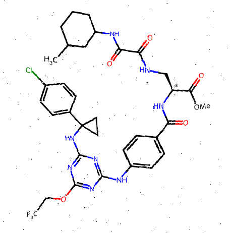 COC(=O)[C@H](CNC(=O)C(=O)NC1CCCC(C)C1)NC(=O)c1ccc(Nc2nc(NC3(c4ccc(Cl)cc4)CC3)nc(OCC(F)(F)F)n2)cc1